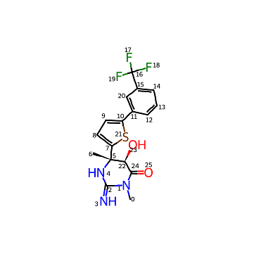 CN1C(=N)N[C@](C)(c2ccc(-c3cccc(C(F)(F)F)c3)s2)[C@@H](O)C1=O